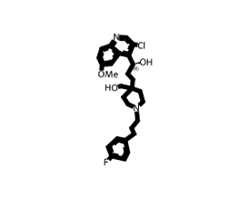 COc1ccc2ncc(Cl)c([C@H](O)CCC3(CO)CCN(CCCc4ccc(F)cc4)CC3)c2c1